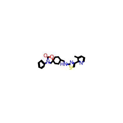 Cc1cccnc1-c1csc(NCC2CCC3(CC2)CN(c2ccccc2)C(=O)O3)n1